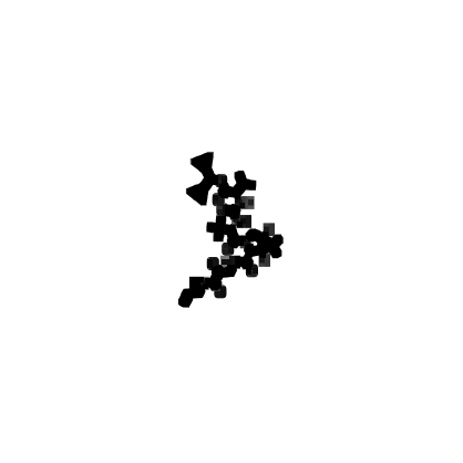 C=CCNC(=O)C(=O)CNC(=O)[C@@H]1[C@@H]2[C@H](CN1C(=O)[C@@H](NC(=O)N[C@H](C(=O)OC(C1CC1)C1CC1)C(C)C)C(C)(C)C)C2(C)C